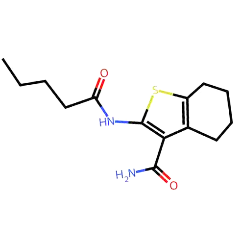 CCCCC(=O)Nc1sc2c(c1C(N)=O)CCCC2